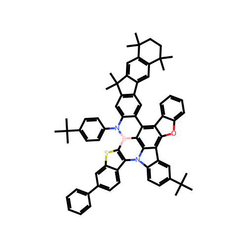 CC(C)(C)c1ccc(N2B3c4sc5cc(-c6ccccc6)ccc5c4-n4c5ccc(C(C)(C)C)cc5c5c6oc7ccccc7c6c(c3c54)-c3cc4c(cc32)C(C)(C)c2cc3c(cc2-4)C(C)(C)CCC3(C)C)cc1